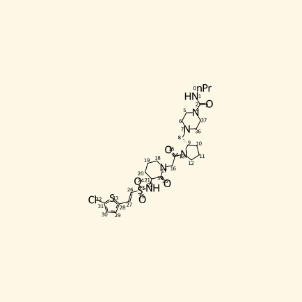 CCCNC(=O)N1CCN(C[C@@H]2CCCN2C(=O)CN2CCC[C@H](NS(=O)(=O)/C=C/c3ccc(Cl)s3)C2=O)CC1